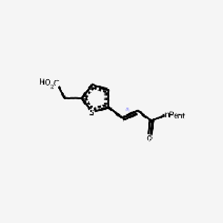 CCCCCC(=O)/C=C/c1ccc(CC(=O)O)s1